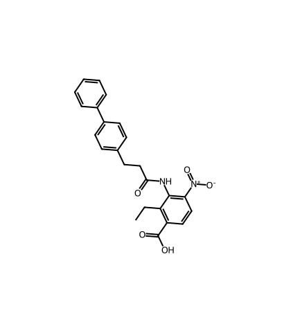 CCc1c(C(=O)O)ccc([N+](=O)[O-])c1NC(=O)CCc1ccc(-c2ccccc2)cc1